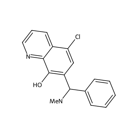 CNC(c1ccccc1)c1cc(Cl)c2cccnc2c1O